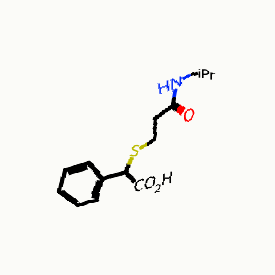 CC(C)NC(=O)CCSC(C(=O)O)c1ccccc1